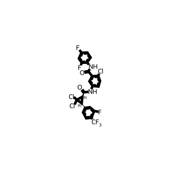 O=C(Nc1ccc(F)cc1F)c1cc(NC(=O)[C@H]2[C@H](c3ccc(C(F)(F)F)c(F)c3)C2(Cl)Cl)ccc1Cl